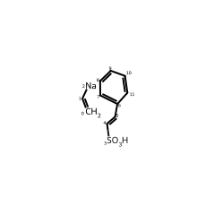 C=[CH][Na].O=S(=O)(O)C=Cc1ccccc1